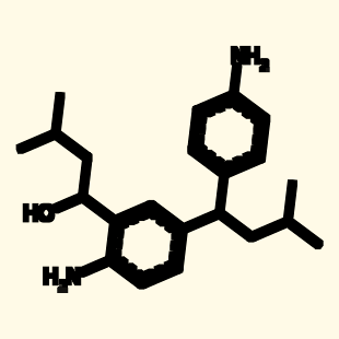 CC(C)CC(O)c1cc(C(CC(C)C)c2ccc(N)cc2)ccc1N